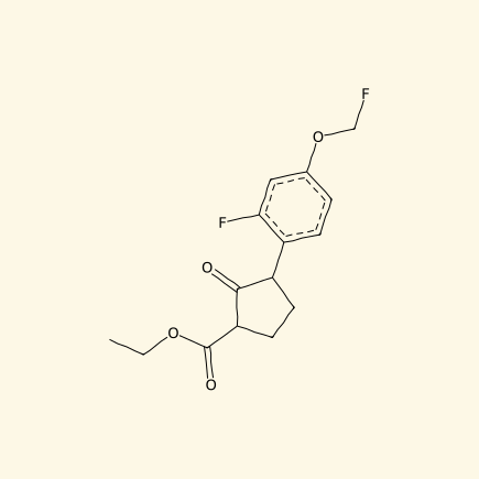 CCOC(=O)C1CCC(c2ccc(OCF)cc2F)C1=O